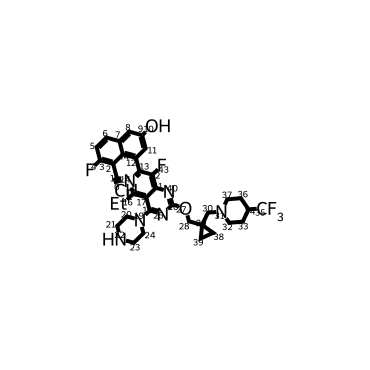 C#Cc1c(F)ccc2cc(O)cc(-c3nc(CC)c4c(N5CCNCC5)nc(OCC5(CN6CCC(C(F)(F)F)CC6)CC5)nc4c3F)c12